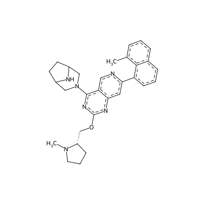 Cc1cccc2cccc(-c3cc4nc(OC[C@@H]5CCCN5C)nc(N5CC6CCC(C5)N6)c4cn3)c12